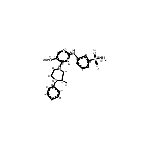 COc1cnc(Nc2cccc(S(N)(=O)=O)c2)nc1N1CCN(c2ccccc2)[C@H](C)C1